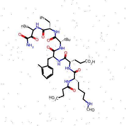 CCCCC(NC(=O)[C@H](CC(C)C)NC(=O)[C@@H](NC(=O)[C@H](Cc1ccccc1C)NC(=O)[C@H](CCC(=O)O)NC(=O)[C@H](CCCCNC=O)NC(=O)CCC(=O)O)C(C)(C)C)C(=O)C(N)=O